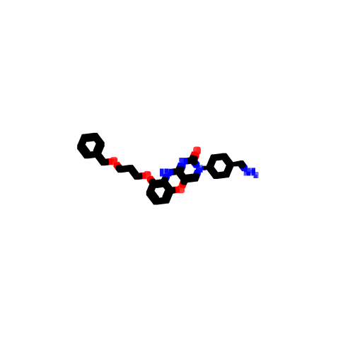 NC[C@H]1CC[C@H](n2cc3c(nc2=O)Nc2c(OCCCOCc4ccccc4)cccc2O3)CC1